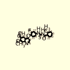 COc1cc2nccc(Oc3ccc(NC(=S)NC(=O)c4ccccc4C)cc3F)c2cc1OC